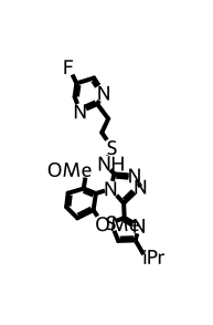 COc1cccc(OC)c1-n1c(NSCCc2ncc(F)cn2)nnc1-c1nc(C(C)C)cs1